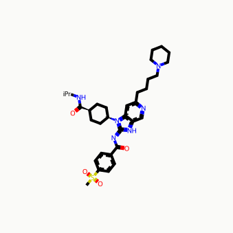 CC(C)NC(=O)[C@H]1CC[C@@H](n2/c(=N/C(=O)c3ccc(S(C)(=O)=O)cc3)[nH]c3cnc(CCCCN4CCCCC4)cc32)CC1